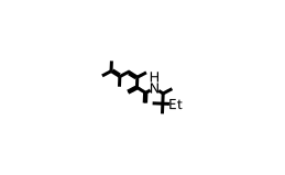 C=C(NC(C)C(C)(C)CC)C(=C)/C(C)=C\C(C)=C(C)C